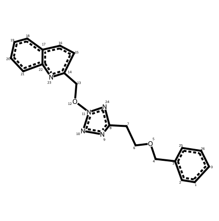 c1ccc(COCCc2nnn(OCc3ccc4ccccc4n3)n2)cc1